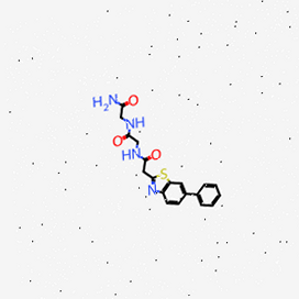 NC(=O)CNC(=O)CNC(=O)Cc1nc2ccc(-c3ccccc3)cc2s1